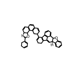 C1=CCCC(C2=NC3C=Cc4ccc5c(c4C3O2)CC(C2=CCCC3=C2c2cccc4c2C3=C[C@H]2c3ccccc3OC42)C=C5)=C1